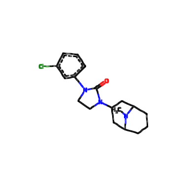 CN1C2CCCC1CC(N1CCN(c3cccc(Cl)c3)C1=O)C2